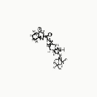 C[C@H]1CC(C)(C)CCN1Cc1cc2ccc(CNC(=O)c3cc(=O)n4ccccc4n3)cc2[nH]1